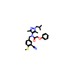 CSc1ccc(CN(C(=O)COc2ccccc2)c2c(C)nn(CC(C)C)c2C)cc1C#N